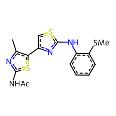 CSc1ccccc1Nc1nc(-c2sc(NC(C)=O)nc2C)cs1